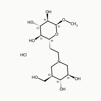 CO[C@H]1O[C@H](CCN2C[C@H](CO)[C@@H](O)[C@H](O)C2)[C@@H](O)[C@H](O)[C@H]1O.Cl